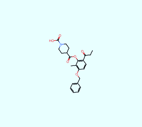 CCC(=O)c1ccc(OCc2ccccc2)c(C)c1OC(=O)C1CCN(C(=O)O)CC1